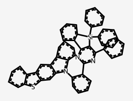 c1ccc(-c2nc(-c3ccccc3-n3c4ccccc4c4cc5c(cc43)sc3ccccc35)nc3c2[Si](c2ccccc2)(c2ccccc2)c2ccccc2-3)cc1